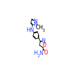 Cn1nccc1Nc1ccc(C2=NOC(C(N)=O)C2)cc1